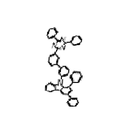 c1ccc(-c2cc(-c3ccccc3)c3c(c2)c2ccccc2n3-c2cccc(-c3cccc(-c4nc(-c5ccccc5)nc(-c5ccccc5)n4)c3)c2)cc1